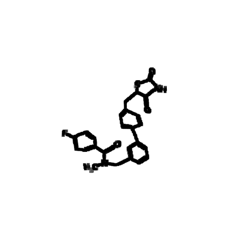 CN(Cc1cccc(-c2ccc(CC3SC(=O)NC3=O)cc2)c1)C(=O)c1ccc(F)cc1